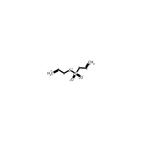 C=CCSS(=O)(=O)CC=C